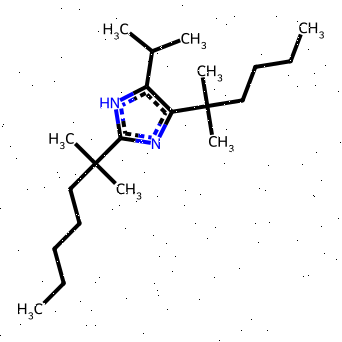 CCCCCC(C)(C)c1nc(C(C)(C)CCCC)c(C(C)C)[nH]1